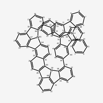 c1ccc(-n2c3ccccc3c3cc(-c4cccc5c6cccc7c8c9ccc%10c%11cccc%12c%13cccc(-c%14ccc%15c(c%14)c%14ccccc%14n%15-c%14ccccc%14)c%13n(c%10c9ccc8n(c45)c67)c%12%11)ccc32)cc1